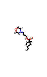 CCCCC(C)(CC)C(=O)OCCCN1CCOCC1